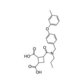 CCCN(Cc1ccc(Oc2cccc(C)c2)cc1)C(=O)C1CC(C(=O)O)C1C(=O)O